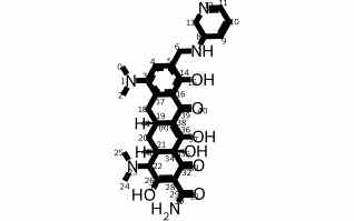 CN(C)c1cc(CNC2C=CC=NC2)c(O)c2c1C[C@H]1C[C@H]3C(N(C)C)C(O)=C(C(N)=O)C(=O)[C@@]3(O)C(O)=C1C2=O